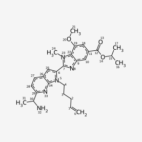 C=CCCCn1c(-c2nc3cc(C(=O)OC(C)C)cc(OC)c3n2C)cc2ccc(C(C)N)nc21